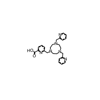 O=C(O)c1cccc(CN2CCN(Cc3ccccn3)CCN(Cc3ccccn3)CC2)n1